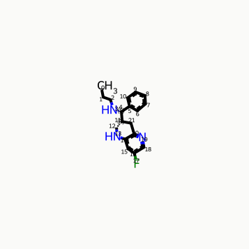 CCCN[C@H](c1ccccc1)[C@H]1CNc2cc(F)cnc2C1